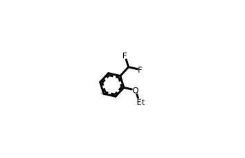 CCOc1c[c]ccc1C(F)F